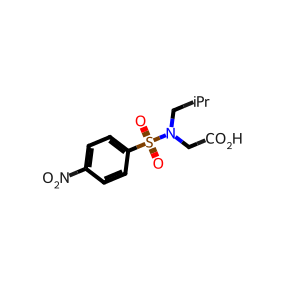 CC(C)CN(CC(=O)O)S(=O)(=O)c1ccc([N+](=O)[O-])cc1